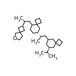 CC(CC1CC[C@@H](C(C)CC2C[C@H](C(C)C)CC3(CCC3)C2)CC12CCC2)C1CC2(CCOC2)C1